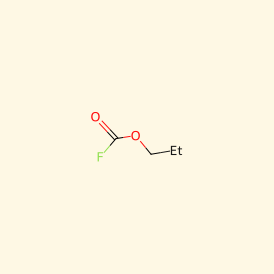 CCCOC(=O)F